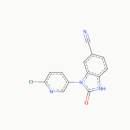 N#Cc1ccc2[nH]c(=O)n(-c3ccc(Cl)nc3)c2c1